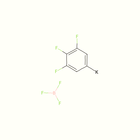 FB(F)F.Fc1c[c]([K])cc(F)c1F